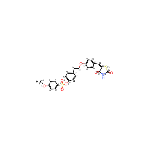 COc1ccc(S(=O)(=O)Oc2ccc(CCOc3ccc(C=C4SC(=O)NC4=O)cc3)cc2)cc1